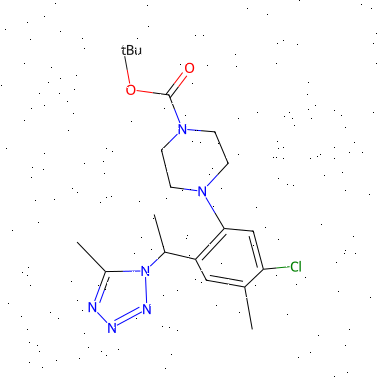 Cc1cc(C(C)n2nnnc2C)c(N2CCN(C(=O)OC(C)(C)C)CC2)cc1Cl